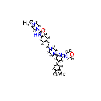 COc1ccc(-c2cc(N3CCOCC3)nc(N3CCN(CC[C@H]4CC[C@H](NC(=O)N5CCN(C)CC5)CC4)CC3)c2)cc1